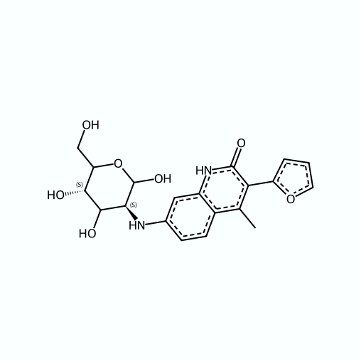 Cc1c(-c2ccco2)c(=O)[nH]c2cc(N[C@@H]3C(O)OC(CO)[C@@H](O)C3O)ccc12